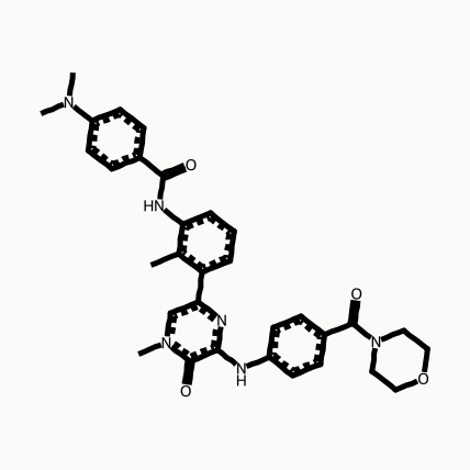 Cc1c(NC(=O)c2ccc(N(C)C)cc2)cccc1-c1cn(C)c(=O)c(Nc2ccc(C(=O)N3CCOCC3)cc2)n1